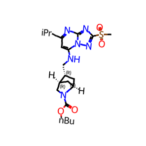 CCCCOC(=O)N1C[C@@H]2C[C@H]1C[C@H]2CNc1cc(C(C)C)nc2nc(S(C)(=O)=O)nn12